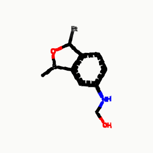 CCC1OB(C)c2cc(NCO)ccc21